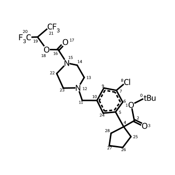 CC(C)(C)OC(=O)C1(c2cc(Cl)cc(CN3CCN(C(=O)OC(C(F)(F)F)C(F)(F)F)CC3)c2)CCCC1